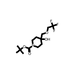 CC(C)(C)OC(=O)N1CCC(O)(COCC(F)(F)F)CC1